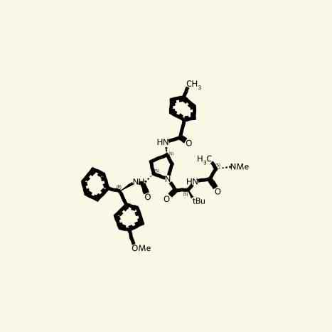 CN[C@@H](C)C(=O)N[C@H](C(=O)N1C[C@@H](NC(=O)c2ccc(C)cc2)C[C@H]1C(=O)N[C@H](c1ccccc1)c1ccc(OC)cc1)C(C)(C)C